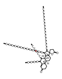 C=C=C=C=C=C=C=C=C=C=C=C=C=C=C=C1C(=C=C=C=C=C=C=C=C=C=C=C=C=C=C)[C@@H]2[C@@H]3C(=C=C=C=C=C=C)C(=C=C=C=C=C)C4=CC(=O)CCC4(C)[C@@H]3CCC2(C)C12CCC(=O)O2